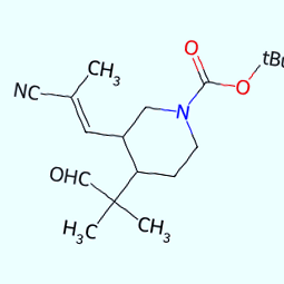 C/C(C#N)=C\C1CN(C(=O)OC(C)(C)C)CCC1C(C)(C)C=O